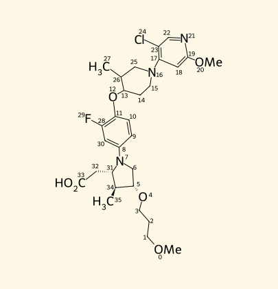 COCCCO[C@H]1CN(c2ccc(OC3CCN(c4cc(OC)ncc4Cl)CC3C)c(F)c2)[C@@H](CC(=O)O)[C@@H]1C